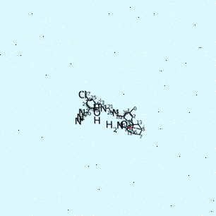 CC1=CC(C23CC4CC(CC(C4)C2)C3)C(ON)C(/C=N/CCNCC2C=C(Cl)C=C(CN=[N+]=[N-])C2O)=C1